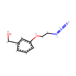 [N-]=[N+]=NCCOc1cccc(CO)c1